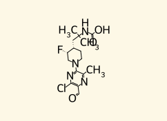 Cc1nc(C=O)c(Cl)nc1N1CC[C@@H](CC(C)(C)NC(=O)O)[C@@H](F)C1